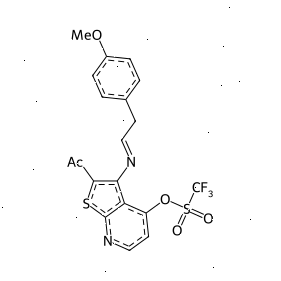 COc1ccc(CC=Nc2c(C(C)=O)sc3nccc(OS(=O)(=O)C(F)(F)F)c23)cc1